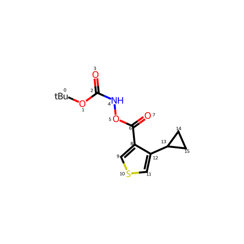 CC(C)(C)OC(=O)NOC(=O)c1cscc1C1CC1